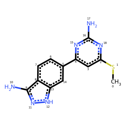 CSc1cc(-c2ccc3c(N)n[nH]c3c2)nc(N)n1